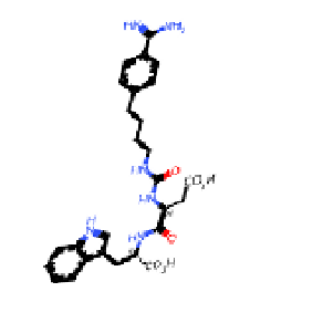 N=C(N)c1ccc(CCCCNC(=O)N[C@@H](CC(=O)O)C(=O)N[C@@H](Cc2c[nH]c3ccccc23)C(=O)O)cc1